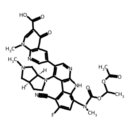 CC(=O)OC(C)OC(=O)N(C)c1cc(F)c(C#N)c2c1[nH]c1ncc(-c3cnc4c(c3)c(=O)c(C(=O)O)cn4C)c(N3CC[C@H]4CN(C)C[C@H]43)c12